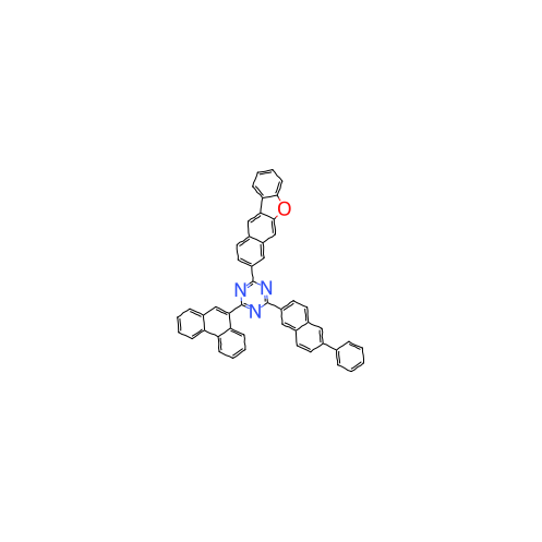 c1ccc(-c2ccc3cc(-c4nc(-c5ccc6cc7c(cc6c5)oc5ccccc57)nc(-c5cc6ccccc6c6ccccc56)n4)ccc3c2)cc1